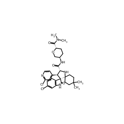 CN(C)C(=O)[C@@H]1CC[C@@H](NC(=O)[C@@H]2NC3(CCC(C)(C)CC3)[C@@]3(C(=O)Nc4cc(Cl)ccc43)[C@H]2c2ccnc(Cl)n2)CO1